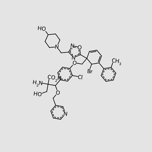 Cc1ccccc1C1=CC=CC(COc2ccc(C(OCc3cccnc3)C(N)(CO)C(=O)O)cc2Cl)(c2nc(CN3CCC(O)CC3)no2)C1Br